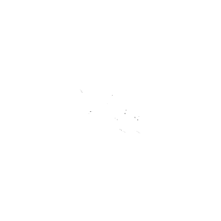 C[C@]1(O)[C@@H]2OC(=O)OC[C@H]2O[C@H]1n1ccc(=O)[nH]c1=O